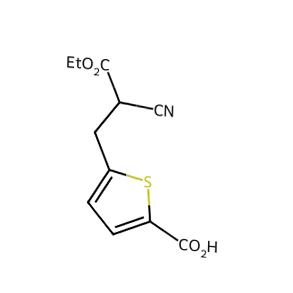 CCOC(=O)C(C#N)Cc1ccc(C(=O)O)s1